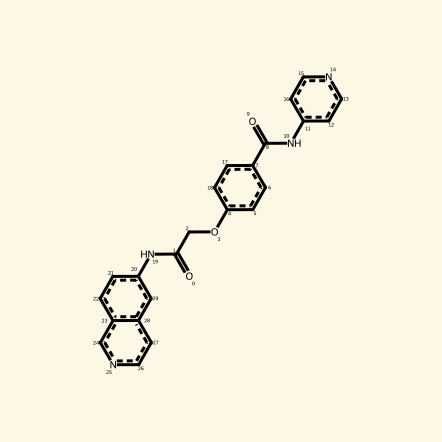 O=C(COc1ccc(C(=O)Nc2ccncc2)cc1)Nc1ccc2cnccc2c1